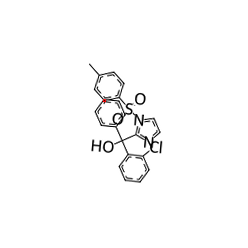 Cc1ccc(S(=O)(=O)n2ccnc2C(O)(c2ccccc2)c2ccccc2Cl)cc1